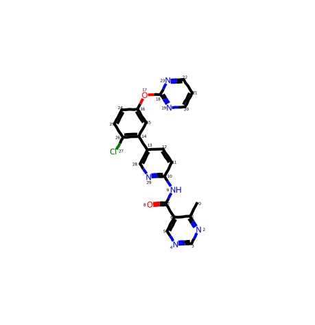 Cc1ncncc1C(=O)Nc1ccc(-c2cc(Oc3ncccn3)ccc2Cl)cn1